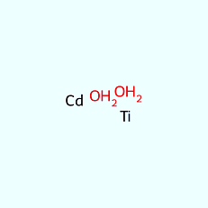 O.O.[Cd].[Ti]